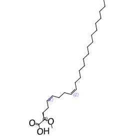 CCCCCCCCCCCCCCCC/C=C\CC/C=C\CC[C@@H](OC)C(=O)O